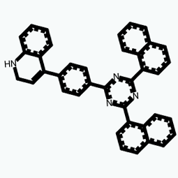 C1=C(c2ccc(-c3nc(-c4cccc5ccccc45)nc(-c4cccc5ccccc45)n3)cc2)c2ccccc2NC1